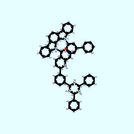 c1ccc(-c2cccc(-n3c4ccccc4c4ccc5c6ccccc6n(-c6nccc7nc(-c8cccc(-c9nc(-c%10ccccc%10)nc(-c%10ccccc%10)n9)c8)ccc67)c5c43)c2)cc1